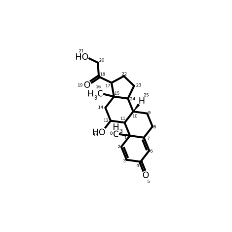 CC12C=CC(=O)C=C1CC[C@@H]1C2C(O)CC2(C)C(C(=O)CO)CCC12